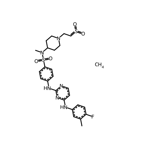 C.Cc1cc(Nc2ccnc(Nc3ccc(S(=O)(=O)N(C)C4CCN(CC=S(=O)=O)CC4)cc3)n2)ccc1F